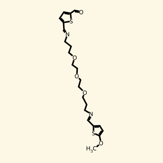 COc1ccc(C=NCCCOCCOCCOCCCN=Cc2ccc(C=O)s2)s1